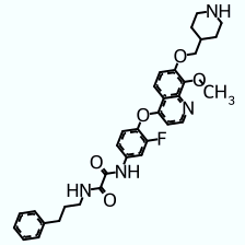 COc1c(OCC2CCNCC2)ccc2c(Oc3ccc(NC(=O)C(=O)NCCCc4ccccc4)cc3F)ccnc12